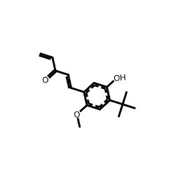 C=CC(=O)C=Cc1cc(O)c(C(C)(C)C)cc1OC